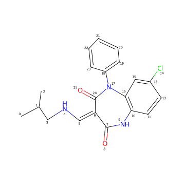 CC(C)CNC=C1C(=O)Nc2ccc(Cl)cc2N(c2ccccc2)C1=O